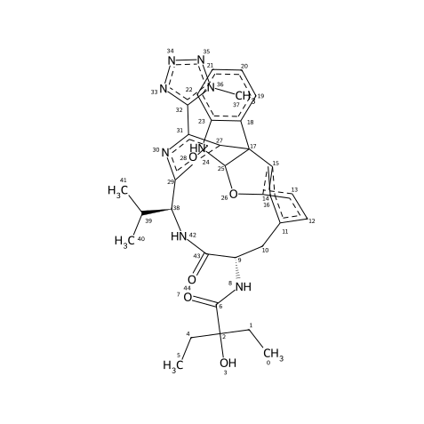 CCC(O)(CC)C(=O)N[C@H]1Cc2ccc3c(c2)C2(c4ccccc4NC2O3)c2oc(nc2-c2nnnn2C)[C@H](C(C)C)NC1=O